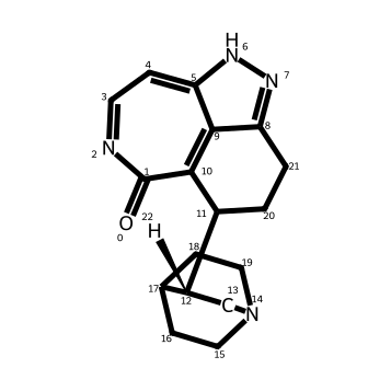 O=c1nccc2[nH]nc3c2c1C([C@@H]1CN2CCC1CC2)CC3